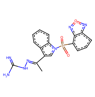 CC(=NNC(=N)N)c1cn(S(=O)(=O)c2cccc3nonc23)c2ccccc12